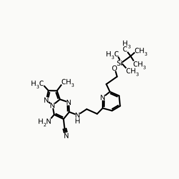 Cc1nn2c(N)c(C#N)c(NCCc3cccc(CCO[Si](C)(C)C(C)(C)C)n3)nc2c1C